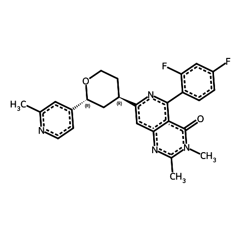 Cc1cc([C@H]2C[C@H](c3cc4nc(C)n(C)c(=O)c4c(-c4ccc(F)cc4F)n3)CCO2)ccn1